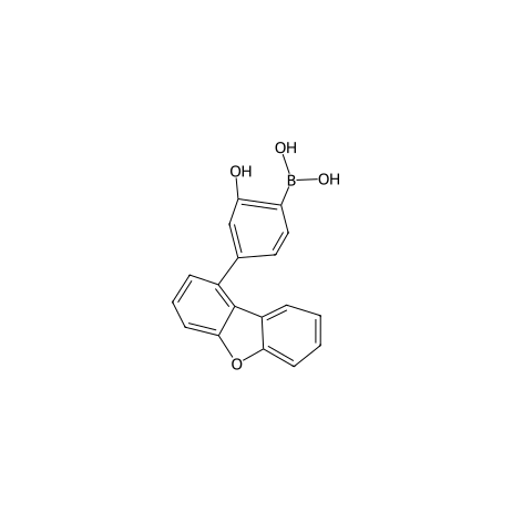 OB(O)c1ccc(-c2cccc3oc4ccccc4c23)cc1O